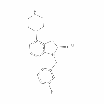 Cl.O=C1Cc2c(C3CCNCC3)cccc2N1Cc1cccc(F)c1